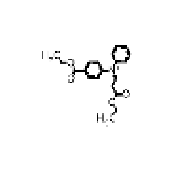 CCOC(=O)CC=[N+](c1ccccc1)c1ccc(C(=O)OCC)cc1